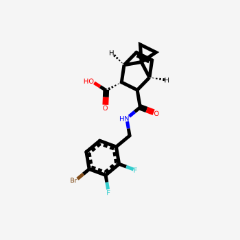 O=C(NCc1ccc(Br)c(F)c1F)C1[C@H](C(=O)O)[C@H]2C=C[C@@H]1C21CC1